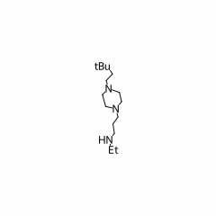 CCNCCCN1CCN(CCC(C)(C)C)CC1